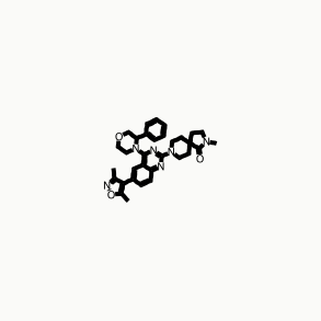 Cc1noc(C)c1-c1ccc2nc(N3CCC4(CCN(C)C4=O)CC3)nc(N3CCOCC3c3ccccc3)c2c1